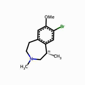 COc1cc2c(cc1Br)[C@H](C)CN(C)CC2